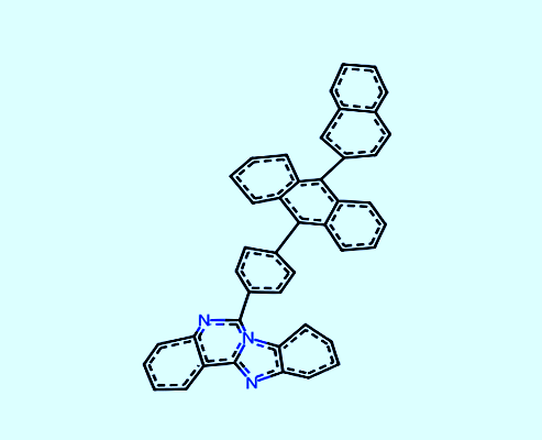 c1ccc2cc(-c3c4ccccc4c(-c4ccc(-c5nc6ccccc6c6nc7ccccc7n56)cc4)c4ccccc34)ccc2c1